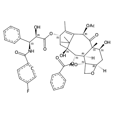 CC(=O)O[C@H]1C(=O)[C@@]2(C)[C@H]([C@H](OC(=O)c3ccccc3)[C@]3(O)C[C@H](OC(=O)[C@H](O)[C@@H](NC(=O)c4ccc(F)cc4)c4ccccc4)C(C)=C1C3(C)C)[C@]1(OC(C)=O)CO[C@@H]1C[C@@H]2O